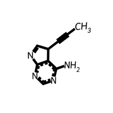 CC#CC1C=Nc2ncnc(N)c21